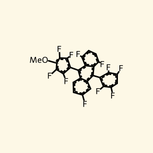 COc1c(F)c(F)c(-c2c3ccc(F)cc3c(-c3c(F)c(F)cc(F)c3F)c3c(F)ccc(F)c23)c(F)c1F